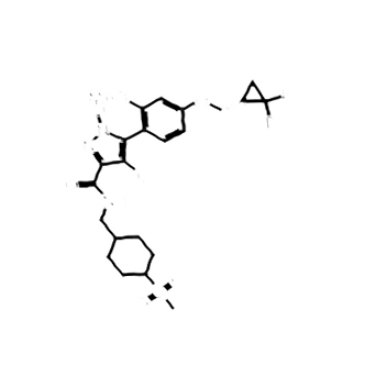 CCn1nc(C(=O)NCC2CCC(S(C)(=O)=O)CC2)c(Cl)c1-c1ccc(OC[C@@H]2CC2(F)F)cc1OC